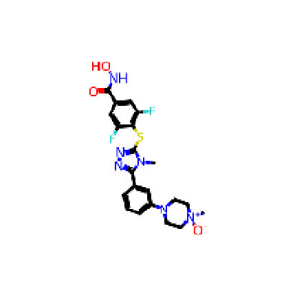 Cn1c(Sc2c(F)cc(C(=O)NO)cc2F)nnc1-c1cccc(N2CC[N+](C)([O-])CC2)c1